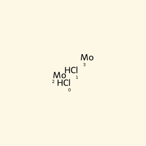 Cl.Cl.[Mo].[Mo]